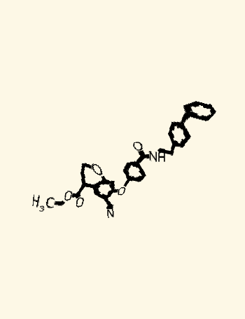 CCOC(=O)C1CCOc2cc(Oc3ccc(C(=O)NCCc4ccc(-c5ccccc5)cc4)cc3)c(C#N)cc21